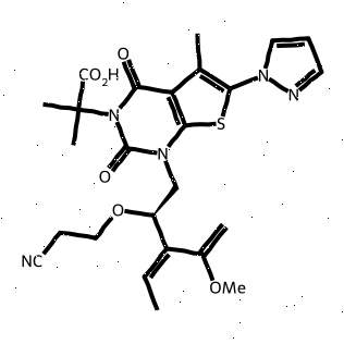 C=C(OC)/C(=C\C)[C@H](Cn1c(=O)n(C(C)(C)C(=O)O)c(=O)c2c(C)c(-n3cccn3)sc21)OCCC#N